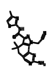 Cc1csc(NC(=O)c2nn(CC#N)c3c2C(C)(C)Cc2cnc(N)nc2-3)n1